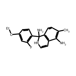 CCOc1ccc(C2(N)NC=Cc3c2ccc(C)c3N)c(F)c1